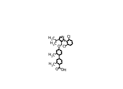 Cc1cc(-c2ccc(OCc3c(C(C)C)cnn3-c3c(Cl)cccc3Cl)cc2C)ccc1C(=O)O